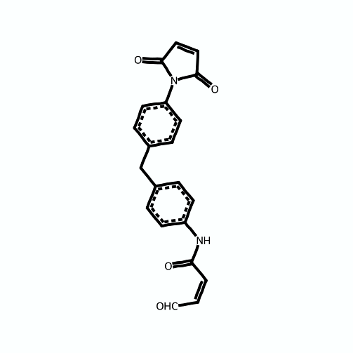 O=C/C=C\C(=O)Nc1ccc(Cc2ccc(N3C(=O)C=CC3=O)cc2)cc1